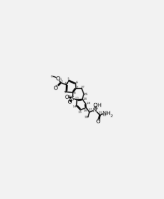 COC(=O)c1ccc2c(c1)S(=O)(=O)c1ccc(C(C)N(O)C(N)=O)cc1CC2